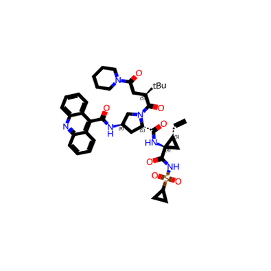 C=C[C@@H]1C[C@]1(NC(=O)[C@@H]1C[C@@H](NC(=O)c2c3ccccc3nc3ccccc23)CN1C(=O)[C@@H](CC(=O)N1CCCCC1)C(C)(C)C)C(=O)NS(=O)(=O)C1CC1